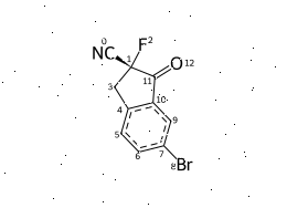 N#C[C@]1(F)Cc2ccc(Br)cc2C1=O